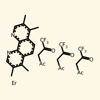 CC(=O)CC(=O)C(F)(F)F.CC(=O)CC(=O)C(F)(F)F.CC(=O)CC(=O)C(F)(F)F.Cc1cnc2c(ccc3c(C)c(C)cnc32)c1C.[Er]